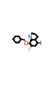 Fc1cc(I)c2cccnc2c1OCc1ccccc1